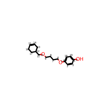 Oc1ccc(OCCCCOCC2CC=CCC2)cc1